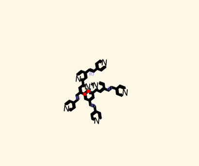 C(=C\c1ccnc(-c2cc(/C=C/c3ccncc3)cc[n+]2C[n+]2ccc(/C=C/c3ccncc3)cc2-c2cc(/C=C/c3ccncc3)ccn2)c1)/c1ccncc1